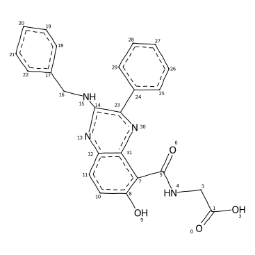 O=C(O)CNC(=O)c1c(O)ccc2nc(NCc3ccccc3)c(-c3ccccc3)nc12